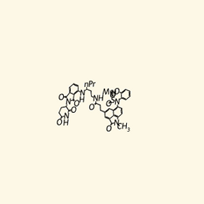 CCCC(CCNC(=O)CCc1cc2c3c(ccc(N(c4ccccc4OC)[SH](=O)=O)c3c1)N(C)C2=O)Nc1cccc2c1C(=O)N(C1CCC(=O)NC1=O)C2=O